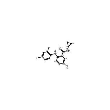 Cc1cc(I)ccc1Nc1ccc(Cl)cc1C(=O)NC1CC1